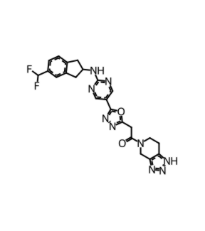 O=C(Cc1nnc(-c2cnc(NC3Cc4ccc(C(F)F)cc4C3)nc2)o1)N1CCc2[nH]nnc2C1